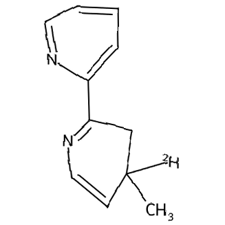 [2H]C1(C)C=CN=C(c2ccccn2)C1